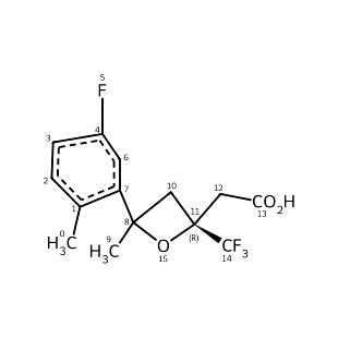 Cc1ccc(F)cc1C1(C)C[C@@](CC(=O)O)(C(F)(F)F)O1